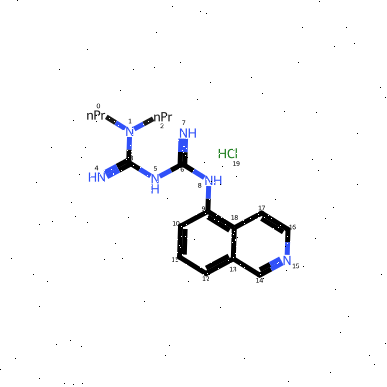 CCCN(CCC)C(=N)NC(=N)Nc1cccc2cnccc12.Cl